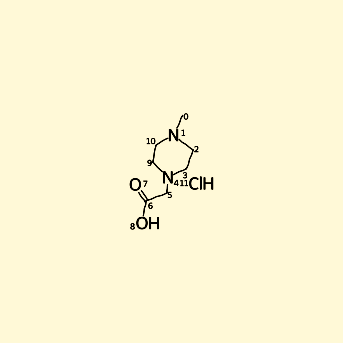 CN1CCN(CC(=O)O)CC1.Cl